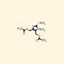 CSc1nc(COC(C)=O)c(COC(C)=O)n1C